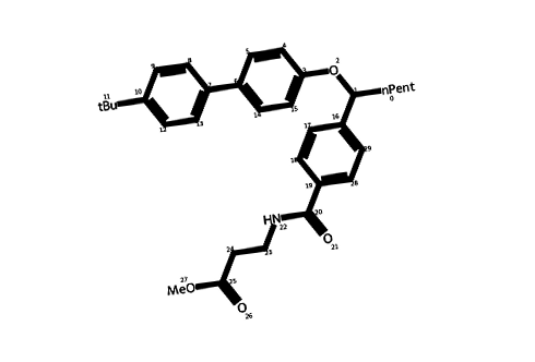 CCCCCC(Oc1ccc(-c2ccc(C(C)(C)C)cc2)cc1)c1ccc(C(=O)NCCC(=O)OC)cc1